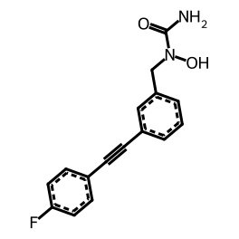 NC(=O)N(O)Cc1cccc(C#Cc2ccc(F)cc2)c1